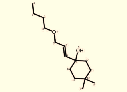 CCCCOC/C=C/C1(O)CCC(C)(C)CC1